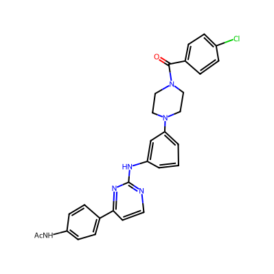 CC(=O)Nc1ccc(-c2ccnc(Nc3cccc(N4CCN(C(=O)c5ccc(Cl)cc5)CC4)c3)n2)cc1